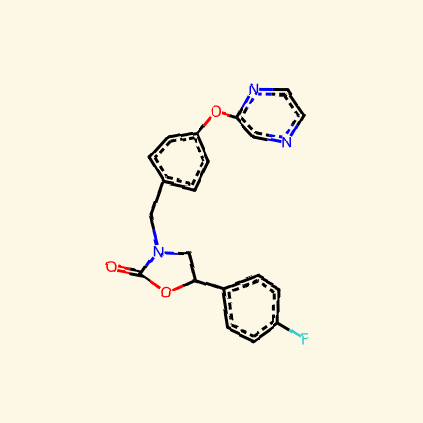 O=C1OC(c2ccc(F)cc2)CN1Cc1ccc(Oc2cnccn2)cc1